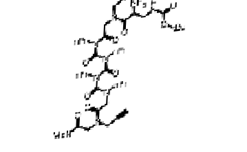 C#CCN(CC(=O)NC)C(=O)CN(CCC)C(=O)N(CCC)C(=O)N(CCC)C(=O)N(CCC)C(=O)CN(CC#C)C(=O)C(N)CNC(=O)OC(C)(C)C